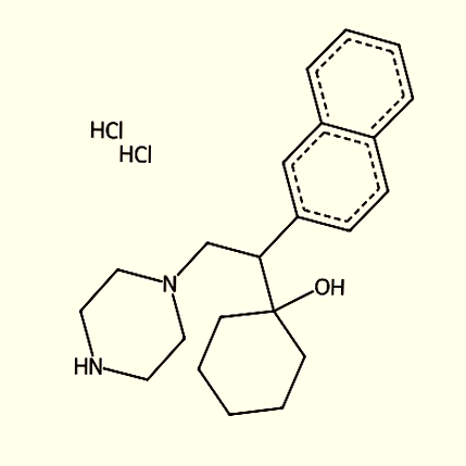 Cl.Cl.OC1(C(CN2CCNCC2)c2ccc3ccccc3c2)CCCCC1